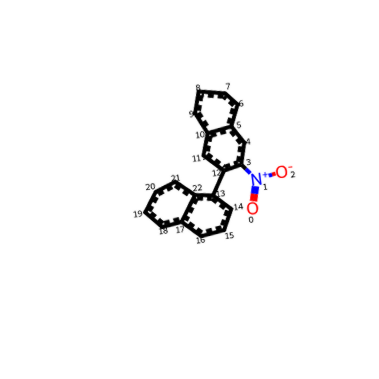 O=[N+]([O-])c1cc2ccccc2[c]c1-c1cccc2ccccc12